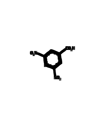 O=C(O)c1cc([N+](=O)[O-])nc([N+](=O)[O-])c1